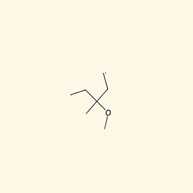 [CH2]CC(C)(CC)OC